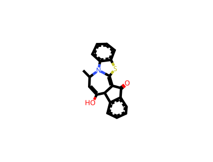 CC1C=C(O)C2C(=C3Sc4ccccc4N31)C(=O)c1ccccc12